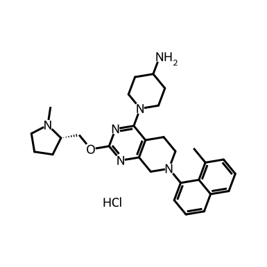 Cc1cccc2cccc(N3CCc4c(nc(OC[C@@H]5CCCN5C)nc4N4CCC(N)CC4)C3)c12.Cl